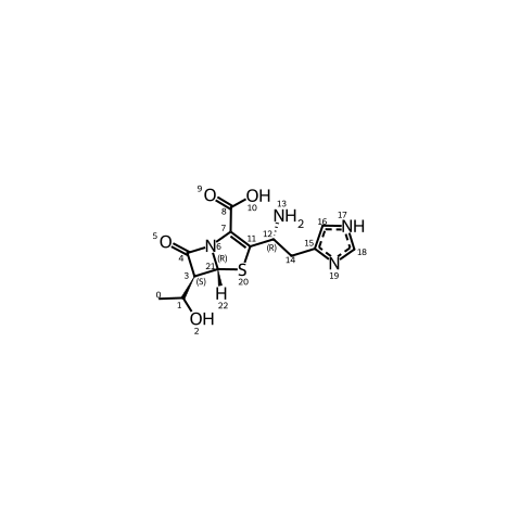 CC(O)[C@H]1C(=O)N2C(C(=O)O)=C([C@H](N)Cc3c[nH]cn3)S[C@H]12